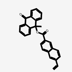 C=Cc1ccc2cc(C(=O)OC3(C)c4ccccc4C(=O)c4ccccc43)ccc2c1